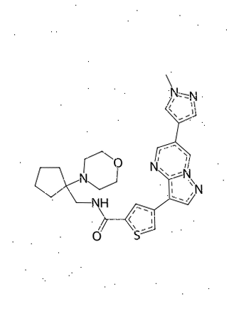 Cn1cc(-c2cnc3c(-c4csc(C(=O)NCC5(N6CCOCC6)CCCC5)c4)cnn3c2)cn1